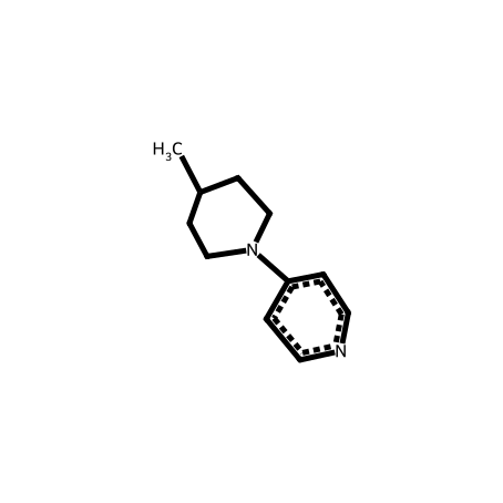 CC1CCN(c2ccncc2)CC1